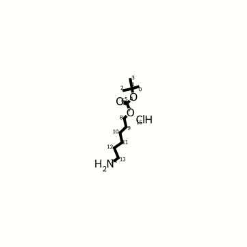 CC(C)(C)OC(=O)OCCCCCCN.Cl